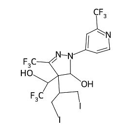 OC1N(c2ccnc(C(F)(F)F)c2)N=C(C(F)(F)F)C1(C(CI)CI)C(O)C(F)(F)F